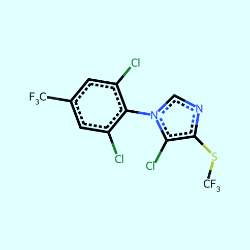 FC(F)(F)Sc1ncn(-c2c(Cl)cc(C(F)(F)F)cc2Cl)c1Cl